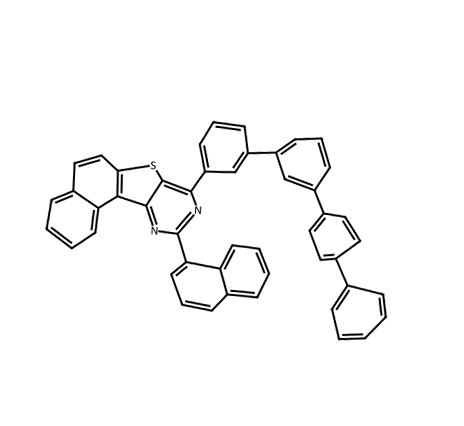 c1ccc(-c2ccc(-c3cccc(-c4cccc(-c5nc(-c6cccc7ccccc67)nc6c5sc5ccc7ccccc7c56)c4)c3)cc2)cc1